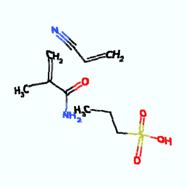 C=C(C)C(N)=O.C=CC#N.CCCS(=O)(=O)O